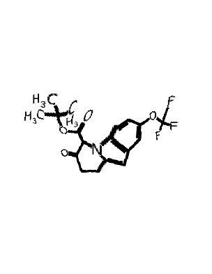 CC(C)(C)OC(=O)C1C(=O)CCc2cc3cc(OC(F)(F)F)ccc3n21